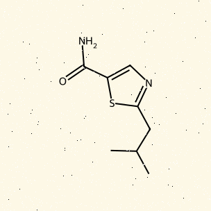 CC(C)Cc1ncc(C(N)=O)s1